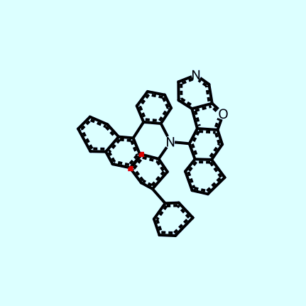 c1ccc(-c2cccc(N(c3ccccc3-c3cccc4ccccc34)c3c4ccccc4cc4oc5cnccc5c34)c2)cc1